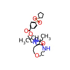 CCc1nn(CC(C)(C)COC(=O)c2ccc(S(=O)(=O)C3CCCC3)cc2)c2c1C(=O)NCCCOCCC2